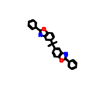 CC(C)(c1ccc2oc(-c3ccccc3)nc2c1)c1ccc2oc(-c3ccccc3)nc2c1